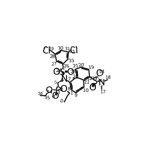 CCOP(=O)(CN(c1cccc2c(S(=O)(=O)N(C)C)cccc12)S(=O)(=O)c1cc(Cl)cc(Cl)c1)OCC